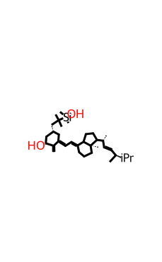 C=C1/C(=C/C=C2\CCC[C@@]3(C)C2CCC3[C@H](C)/C=C/[C@H](C)C(C)C)C[C@@H](CC(C)(C)[Si](C)(C)O)CC1O